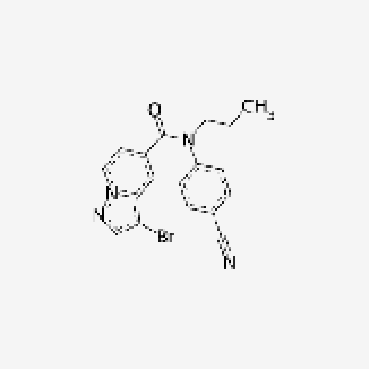 CCCN(C(=O)c1ccn2ncc(Br)c2c1)c1ccc(C#N)cc1